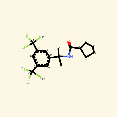 CC(C)(NC(=O)C1CCCC1)c1cc(C(F)(F)F)cc(C(F)(F)F)c1